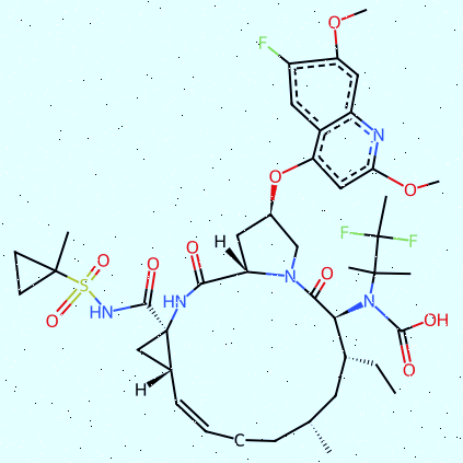 CC[C@@H]1C[C@H](C)CCC=C[C@@H]2C[C@@]2(C(=O)NS(=O)(=O)C2(C)CC2)NC(=O)[C@@H]2C[C@@H](Oc3cc(OC)nc4cc(OC)c(F)cc34)CN2C(=O)[C@H]1N(C(=O)O)C(C)(C)C(C)(F)F